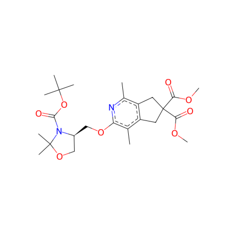 COC(=O)C1(C(=O)OC)Cc2c(C)nc(OC[C@H]3COC(C)(C)N3C(=O)OC(C)(C)C)c(C)c2C1